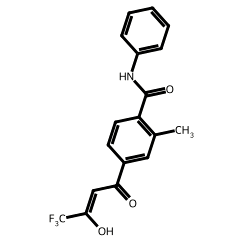 Cc1cc(C(=O)C=C(O)C(F)(F)F)ccc1C(=O)Nc1ccccc1